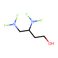 OCCC(CN(F)F)N(F)F